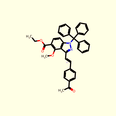 CCOC(=O)c1ccc2c(c(/C=C/c3ccc(C(C)=O)cc3)nn2C(c2ccccc2)(c2ccccc2)c2ccccc2)c1OC